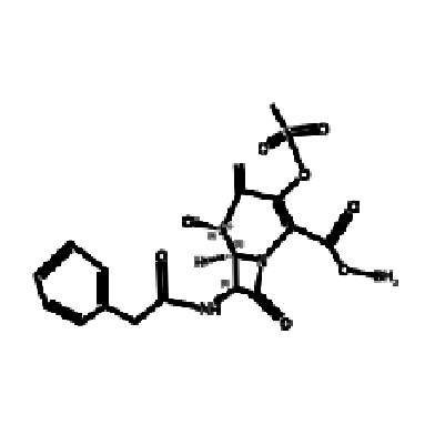 BOC(=O)C1=C(OS(C)(=O)=O)C(=C)[S@+]([O-])[C@@H]2[C@H](NC(=O)Cc3ccccc3)C(=O)N12